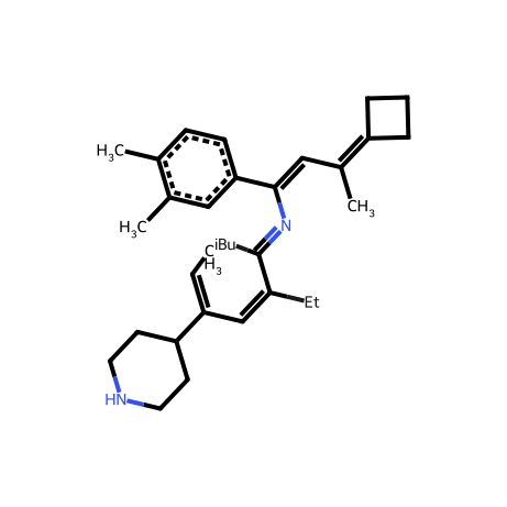 C\C=C(/C=C(CC)\C(=N\C(=C/C(C)=C1CCC1)c1ccc(C)c(C)c1)C(C)CC)C1CCNCC1